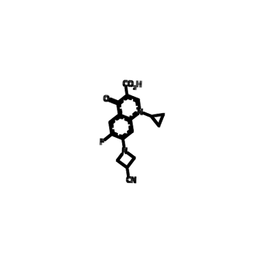 N#CC1CN(c2cc3c(cc2F)c(=O)c(C(=O)O)cn3C2CC2)C1